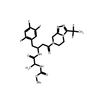 CC(NC(=O)OC(C)(C)C)C(=O)NC(CC(=O)N1CCn2c(nnc2C(C)(F)F)C1)Cc1cc(F)c(F)cc1F